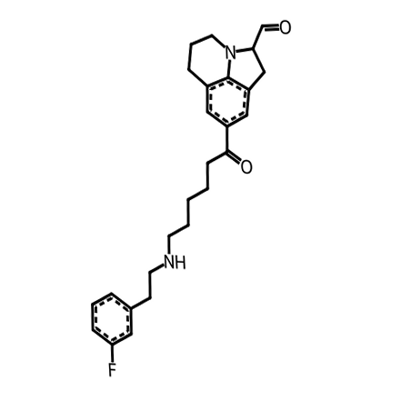 O=CC1Cc2cc(C(=O)CCCCCNCCc3cccc(F)c3)cc3c2N1CCC3